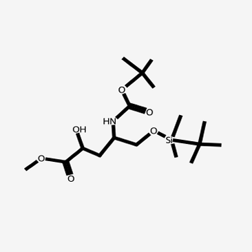 COC(=O)C(O)CC(CO[Si](C)(C)C(C)(C)C)NC(=O)OC(C)(C)C